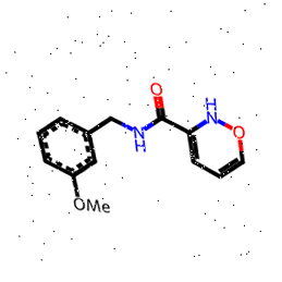 COc1cccc(CNC(=O)C2=CC=CON2)c1